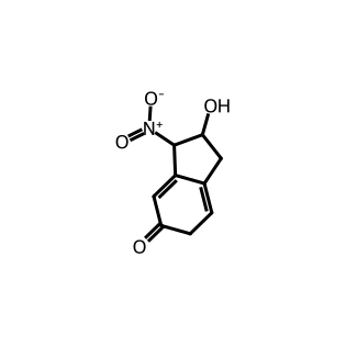 O=C1C=C2C(=CC1)CC(O)C2[N+](=O)[O-]